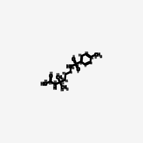 Cc1ccc(S(=O)(=O)NCCCC(C)(C)NC(=O)O)cc1